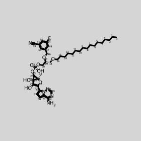 CCCCCCCCCCCCCCCCCOC[C@H](COP(=O)(O)OC1[C@]2(O)C(O)=C(c3ccc4c(N)ncnn34)O[C@]12C)OCc1cc(F)cc(C#N)c1